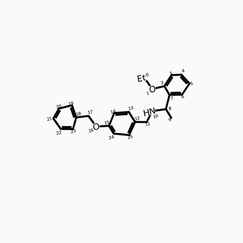 CCOc1ccccc1C(C)NCc1ccc(OCc2ccccc2)cc1